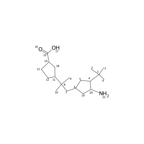 CC(C)(C)C1CC(CC(C)(C)C2CCC(C(=O)O)C2)CC1N